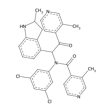 Cc1cnccc1C(=O)C(c1cccc2c1CC(C)N2)N(C(=O)c1ccncc1C)c1cc(Cl)cc(Cl)c1